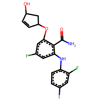 NC(=O)c1c(Nc2ccc(I)cc2F)cc(F)cc1OC1C=CC(O)C1